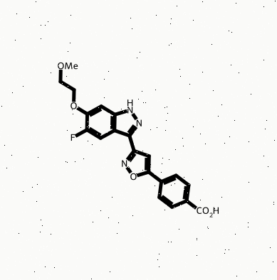 COCCOc1cc2[nH]nc(-c3cc(-c4ccc(C(=O)O)cc4)on3)c2cc1F